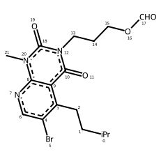 CC(C)CCc1c(Br)cnc2c1c(=O)n(CCCOC=O)c(=O)n2C